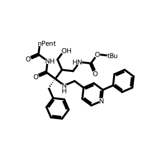 CCCCCC(=O)NC(=O)[C@](Cc1ccccc1)(NCc1ccnc(-c2ccccc2)c1)C(CO)CNC(=O)OC(C)(C)C